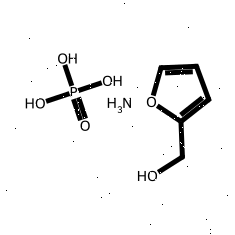 N.O=P(O)(O)O.OCc1ccco1